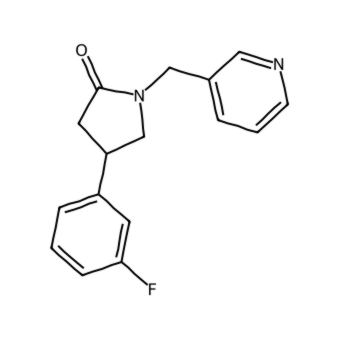 O=C1CC(c2cccc(F)c2)CN1Cc1cccnc1